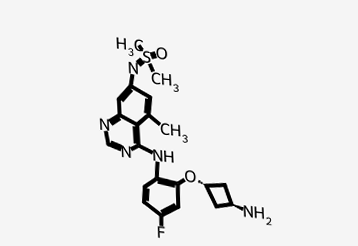 Cc1cc(N=S(C)(C)=O)cc2ncnc(Nc3ccc(F)cc3O[C@H]3C[C@H](N)C3)c12